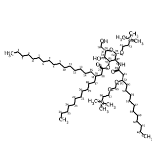 CCCCCCCCCCCCCCCC[C@H](CCCCCCCCCCC)CC(=O)O[C@H]1[C@H](O)[C@@H](CO)O[C@H](OCC[Si](C)(C)C)[C@H]1NC(=O)C[C@@H](CCCCCCCCCCC)OCOCC[Si](C)(C)C